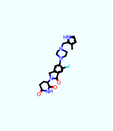 Cc1cc[nH]c1CN1CCN(c2cc3c(cc2F)C(=O)N(C2CCC(=O)NC2=O)C3)CC1